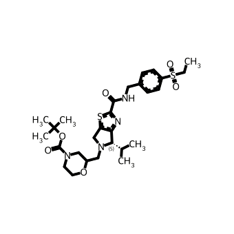 CCS(=O)(=O)c1ccc(CNC(=O)c2nc3c(s2)CN(CC2CN(C(=O)OC(C)(C)C)CCO2)[C@H]3C(C)C)cc1